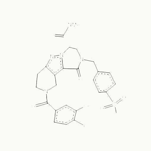 CNC(=O)[C@@H]1CN([C@H](C)c2ccc(S(C)(=O)=O)cc2)C(=O)c2c3c(nn21)C[C@@H](C)N(C(=O)c1ccc(Cl)c(C(F)(F)F)c1)C3